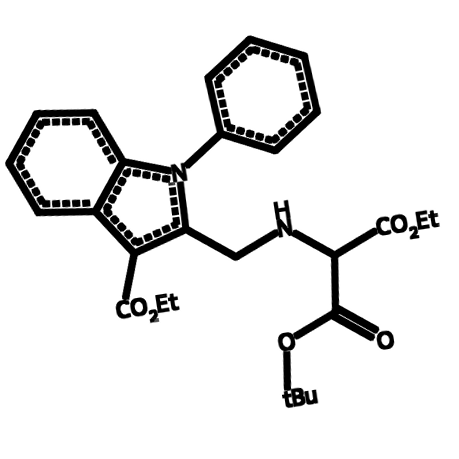 CCOC(=O)c1c(CNC(C(=O)OCC)C(=O)OC(C)(C)C)n(-c2ccccc2)c2ccccc12